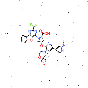 C[C@@H]1N(c2cc(-c3ccnc(N(C)C)c3)cnc2O[C@H]2CC(C(=O)O)N(c3nc(C(F)F)nc4c3oc3ccccc34)C2)CCOC12COC2